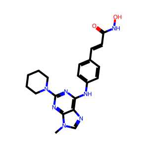 Cn1cnc2c(Nc3ccc(/C=C/C(=O)NO)cc3)nc(N3CCCCC3)nc21